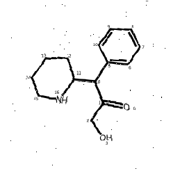 O=C(CO)C(c1ccccc1)C1CCCCN1